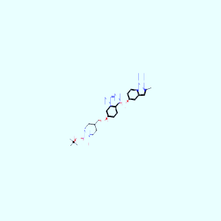 Cc1cc2cc(Oc3ncnc4cc(OCC5CCN(C(=O)OC(C)(C)C)CC5)ccc34)ccc2[nH]1